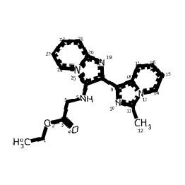 CCOC(=O)CNc1c(-c2nc(C)n3ccccc23)nc2ccccn12